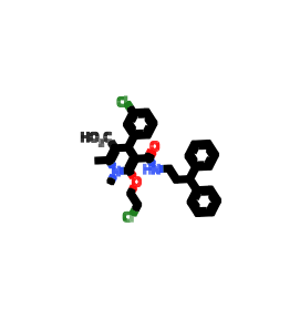 CC1=C(C(=O)O)C(c2cccc(Cl)c2)C(C(=O)NCCC(c2ccccc2)c2ccccc2)=C(OCCCl)N1C